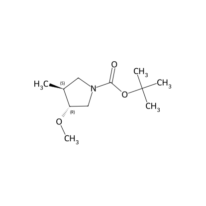 CO[C@H]1CN(C(=O)OC(C)(C)C)C[C@@H]1C